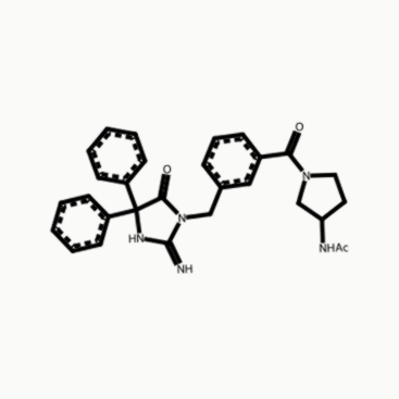 CC(=O)NC1CCN(C(=O)c2cccc(CN3C(=N)NC(c4ccccc4)(c4ccccc4)C3=O)c2)C1